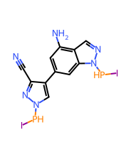 N#Cc1nn(PI)cc1-c1cc(N)c2cnn(PI)c2c1